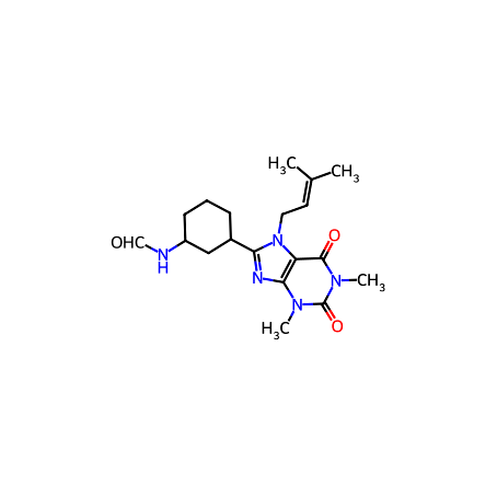 CC(C)=CCn1c(C2CCCC(NC=O)C2)nc2c1c(=O)n(C)c(=O)n2C